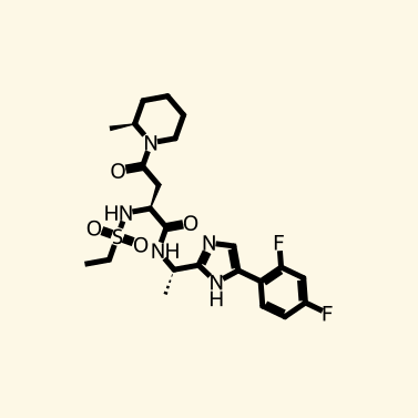 CCS(=O)(=O)N[C@@H](CC(=O)N1CCCC[C@@H]1C)C(=O)N[C@@H](C)c1ncc(-c2ccc(F)cc2F)[nH]1